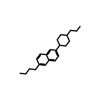 CCCCc1ccc2cc(C3CCC(CCC)CC3)ccc2c1